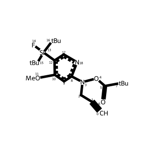 C#CCN(OC(=O)C(C)(C)C)c1cc(OC)c([Si](F)(C(C)(C)C)C(C)(C)C)cn1